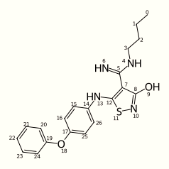 CCCCNC(=N)c1c(O)nsc1Nc1ccc(Oc2ccccc2)cc1